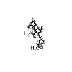 CS(=O)(=O)N1CCC(COc2cc(F)cc(Nc3ccc(I)cc3F)c2C(N)=O)C1